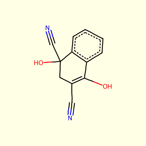 N#CC1=C(O)c2ccccc2C(O)(C#N)C1